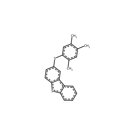 Cc1cc(C)c(Sc2ccc3sc4ccccc4c3c2)cc1C